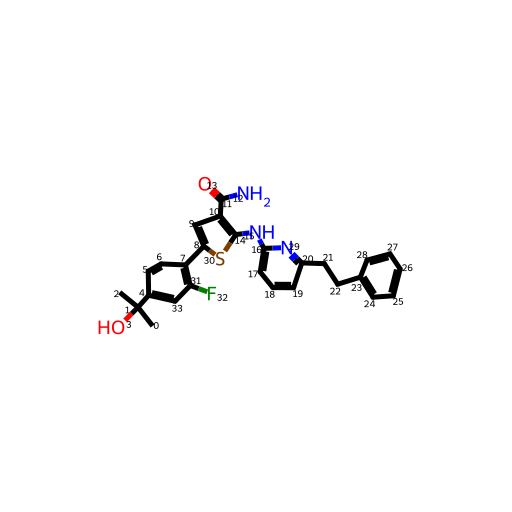 CC(C)(O)c1ccc(-c2cc(C(N)=O)c(Nc3cccc(CCc4ccccc4)n3)s2)c(F)c1